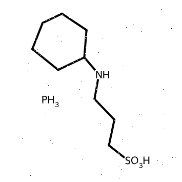 O=S(=O)(O)CCCNC1CCCCC1.P